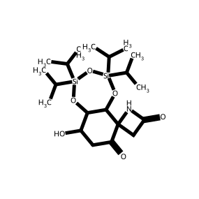 CC(C)[Si]1(C(C)C)OC2C(O)CC(=O)C3(CC(=O)N3)C2O[Si](C(C)C)(C(C)C)O1